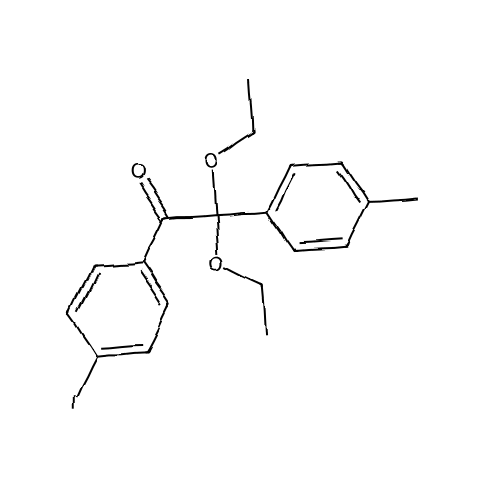 CCOC(OCC)(C(=O)c1ccc(I)cc1)c1ccc(C)cc1